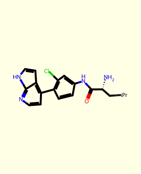 CC(C)C[C@@H](N)C(=O)Nc1ccc(-c2ccnc3[nH]ccc23)c(Cl)c1